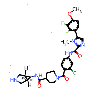 COc1ccc(-c2cnc(C(=O)Nc3ccc(C(=O)N4CCC(C(=O)N[C@H]5[C@@H]6CNC[C@@H]65)CC4)c(Cl)c3)n2C)c(F)c1F